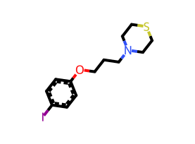 Ic1ccc(OCCCN2CCSCC2)cc1